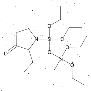 CCO[Si](C)(OCC)O[Si](OCC)(OCC)N1CCC(=O)C1CC